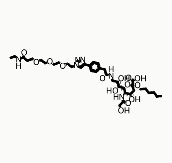 CCCCCCO[C@]1(C(=O)O)C[C@H](O)[C@@H](NC(=O)CO)[C@H]([C@H](O)[C@H](O)CNC(=O)Cc2ccc(-c3cn(CCOCCOCCOCCC(=O)NCC)nn3)cc2)O1